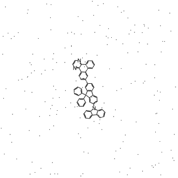 c1ccc(C2(c3ccccc3)c3cc(-c4ccc5c(c4)c4ccccc4c4nccnc54)ccc3-c3ccc(-n4c5ccccc5c5ccccc54)cc32)cc1